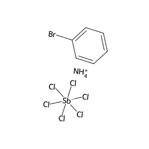 Brc1ccccc1.[Cl][Sb-]([Cl])([Cl])([Cl])([Cl])[Cl].[NH4+]